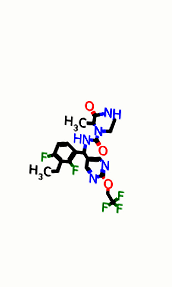 CCc1c(F)ccc(C(NC(=O)N2CCNC(=O)C2C)c2cnc(OCC(F)(F)F)nc2)c1F